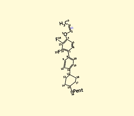 C/C=C\Oc1ccc(-c2ccc(C3CCC(CCCCC)CC3)cc2)c(F)c1F